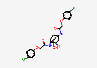 O=C(COc1ccc(F)cc1)NC12CCC(NC(=O)COc3ccc(Cl)cc3)(CC1)[C@@H](O)C2